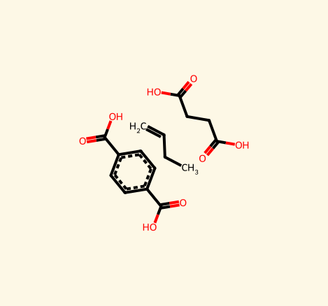 C=CCC.O=C(O)CCC(=O)O.O=C(O)c1ccc(C(=O)O)cc1